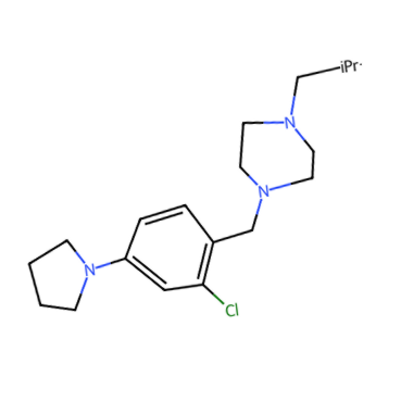 C[C](C)CN1CCN(Cc2ccc(N3CCCC3)cc2Cl)CC1